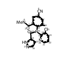 CNC(=O)c1cc(C#N)cc(C)c1N(C(=O)c1ccn[nH]1)c1ncccc1Cl